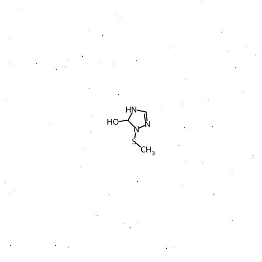 CSN1N=CNC1O